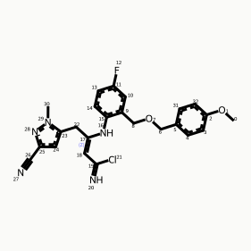 COc1ccc(COCc2cc(F)ccc2N/C(=C\C(=N)Cl)Cc2cc(C#N)nn2C)cc1